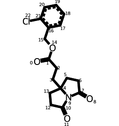 O=C(CCC12CCC(=O)N1C(=O)CC2)OCc1ccccc1Cl